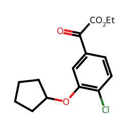 CCOC(=O)C(=O)c1ccc(Cl)c(OC2CCCC2)c1